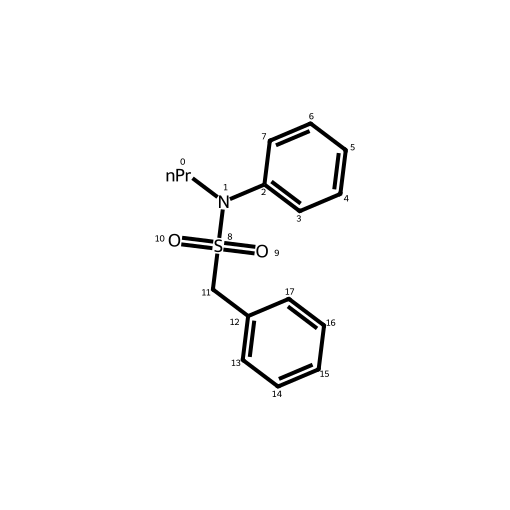 CCCN(c1ccccc1)S(=O)(=O)Cc1ccccc1